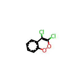 ClC1=C(Cl)c2ccccc2OO1